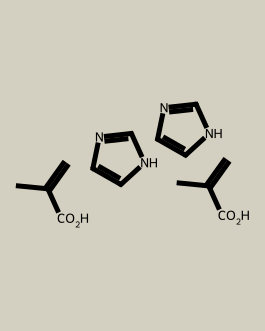 C=C(C)C(=O)O.C=C(C)C(=O)O.c1c[nH]cn1.c1c[nH]cn1